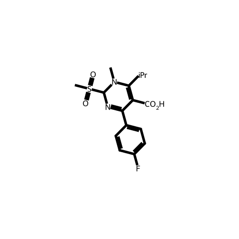 CC(C)C1=C(C(=O)O)C(c2ccc(F)cc2)=NC(S(C)(=O)=O)N1C